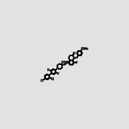 CCOC(=O)C1(COc2ccc(F)c3c2CCC(=O)N3Cc2ccc(OC)cc2)CCN(c2cc(F)c(-c3ccc(Cl)cc3Cl)cc2F)CC1